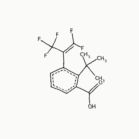 CC(C)(C)c1c(C(=O)O)cccc1C(=C(F)F)C(F)(F)F